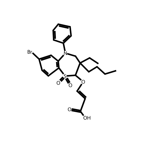 CCCCC1(CC)CN(c2ccccc2)c2cc(Br)ccc2S(=O)(=O)C1O/C=C/C(=O)O